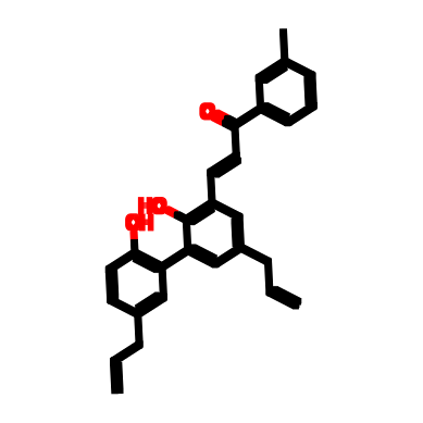 C=CCc1ccc(O)c(-c2cc(CC=C)cc(C=CC(=O)c3cccc(C)c3)c2O)c1